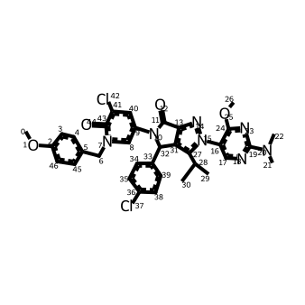 COc1ccc(Cn2cc(N3C(=O)c4nn(-c5cnc(N(C)C)nc5OC)c(C(C)C)c4C3c3ccc(Cl)cc3)cc(Cl)c2=O)cc1